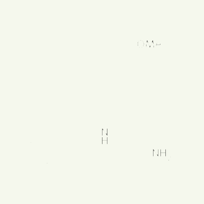 COc1ccc(N)c(NCC2CC2)c1